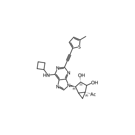 CC(=O)[C@]12CC1[C@@H](n1cnc3c(NC4CCC4)nc(C#Cc4ccc(C)s4)nc31)[C@H](O)C2O